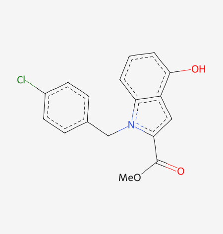 COC(=O)c1cc2c(O)cccc2n1Cc1ccc(Cl)cc1